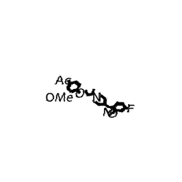 COc1cc(C(C)=O)ccc1OCCC(C)N1CCC(c2noc3cc(F)ccc23)CC1